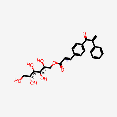 C=C(C(=O)c1ccc(/C=C/C(=O)OC[C@H](O)[C@@H](O)[C@H](O)[C@H](O)CO)cc1)c1ccccc1